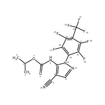 CC(C)OC(=O)Nc1c(C#N)cnn1-c1c(F)c(F)c(C(F)(F)F)c(F)c1F